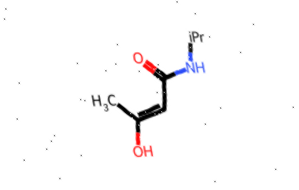 C/C(O)=C\C(=O)NC(C)C